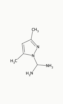 Cc1cc(C)n(C(N)N)n1